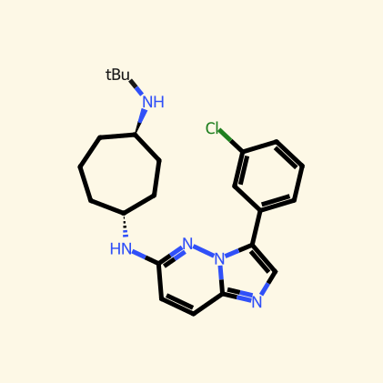 CC(C)(C)N[C@@H]1CCC[C@@H](Nc2ccc3ncc(-c4cccc(Cl)c4)n3n2)CC1